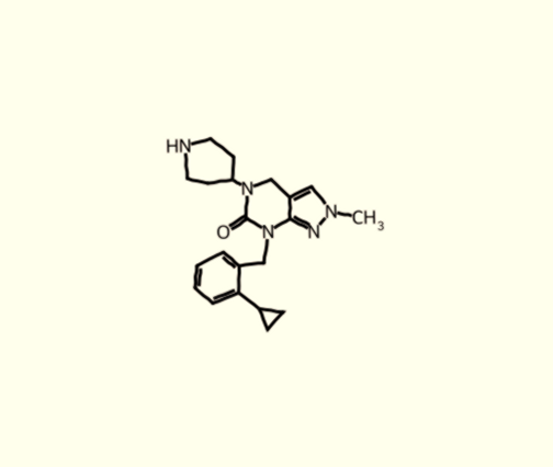 Cn1cc2c(n1)N(Cc1ccccc1C1CC1)C(=O)N(C1CCNCC1)C2